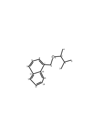 CC(C)C(C)OCc1cccc2ccccc12